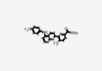 CNC(=O)c1ccc(C(F)(F)F)c(-c2ccc3c(Nc4ccc(C(F)(F)F)cc4)ccnc3n2)n1